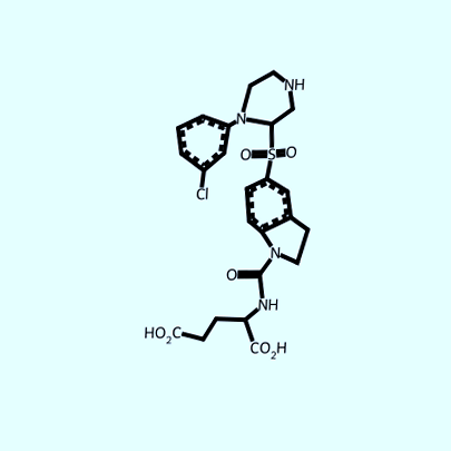 O=C(O)CCC(NC(=O)N1CCc2cc(S(=O)(=O)C3CNCCN3c3cccc(Cl)c3)ccc21)C(=O)O